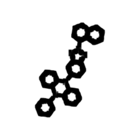 c1ccc(N2c3ccccc3N(c3ccc4nn(-c5cccc6ccccc56)nc4c3)c3ccccc32)cc1